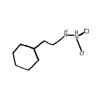 Cl[SiH](Cl)NCCC1CCCCC1